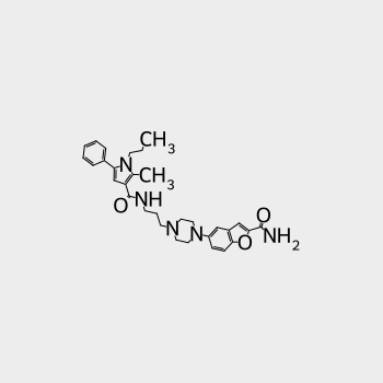 CCCn1c(-c2ccccc2)cc(C(=O)NCCCN2CCN(c3ccc4oc(C(N)=O)cc4c3)CC2)c1C